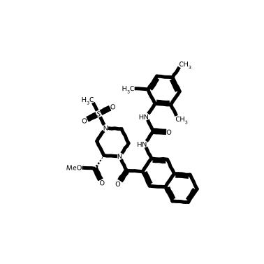 COC(=O)[C@@H]1CN(S(C)(=O)=O)CCN1C(=O)c1cc2ccccc2cc1NC(=O)Nc1c(C)cc(C)cc1C